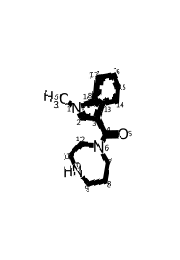 Cn1cc(C(=O)N2CCCNCC2)c2ccccc21